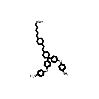 CCCCCCCCCCCCCCCC1CCC(CCC2CCC(c3ccc(Oc4ccc(N)cc4)cc3)(c3ccc(Oc4ccc(N)cc4)cc3)CC2)CC1